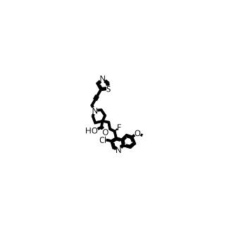 COc1ccc2ncc(Cl)c([C@H](F)CCC3(C(=O)O)CCN(CC#Cc4cncs4)CC3)c2c1